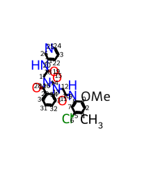 COc1cc(C)c(Cl)cc1NC(=O)Cn1c(=O)n(CC(=O)Nc2cccnc2)c(=O)c2ccccc21